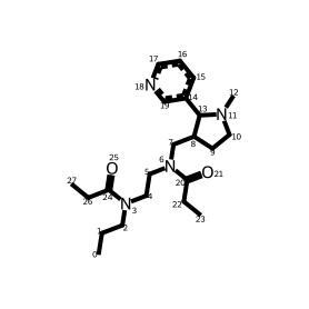 CCCN(CCN(CC1CCN(C)C1c1cccnc1)C(=O)CC)C(=O)CC